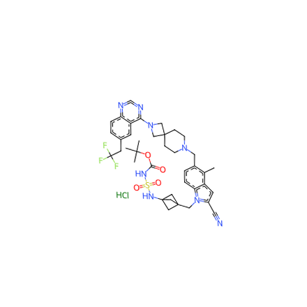 Cc1c(CN2CCC3(CC2)CN(c2ncnc4ccc(CC(F)(F)F)cc24)C3)ccc2c1cc(C#N)n2CC12CC(NS(=O)(=O)NC(=O)OC(C)(C)C)(C1)C2.Cl